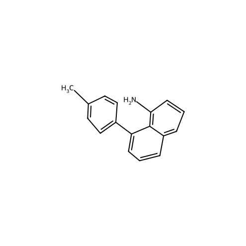 Cc1ccc(-c2cccc3cccc(N)c23)cc1